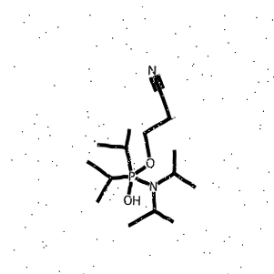 CC(C)N(C(C)C)P(O)(OCCC#N)(C(C)C)C(C)C